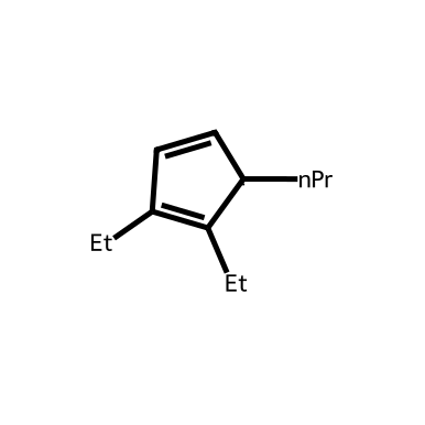 CCC[C]1C=CC(CC)=C1CC